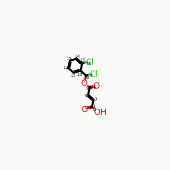 O=C(O)C=CC(=O)OC(Cl)c1ccccc1Cl